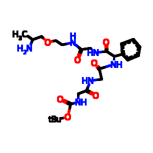 CC(N)COCCNC(=O)CNC(=O)[C@@H](NC(=O)CNC(=O)CNC(=O)OC(C)(C)C)c1ccccc1